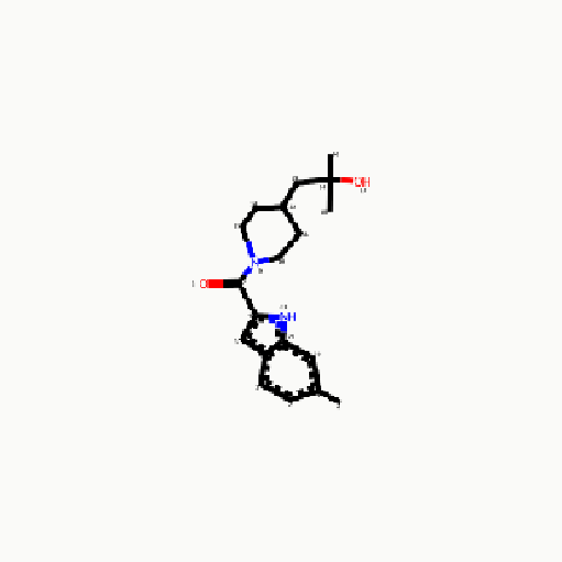 Cc1ccc2cc(C(=O)N3CCC(CC(C)(C)O)CC3)[nH]c2c1